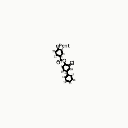 CCCCCc1ccc(C(=O)Oc2ccc(-c3ccccc3)cc2Cl)cc1